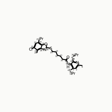 Cc1cc(SC(C)C)c(NC(=O)CCCCCSc2nc3c(C)c(Cl)cc(C(C)C)c3o2)c(SC(C)C)n1